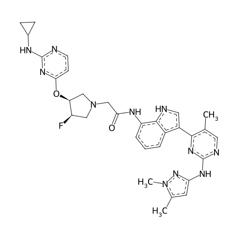 Cc1cnc(Nc2cc(C)n(C)n2)nc1-c1c[nH]c2c(NC(=O)CN3C[C@@H](F)[C@@H](Oc4ccnc(NC5CC5)n4)C3)cccc12